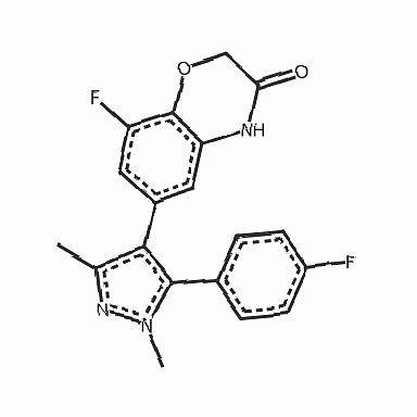 Cc1nn(C)c(-c2ccc(F)cc2)c1-c1cc(F)c2c(c1)NC(=O)CO2